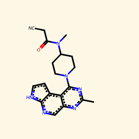 Cc1nc(N2CCC(N(C)C(=O)CC#N)CC2)c2c(cnc3[nH]ccc32)n1